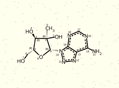 C[C@@]1(O)[C@H](O)[C@@H](CO)O[C@H]1n1nnc2c(N)ncnc21